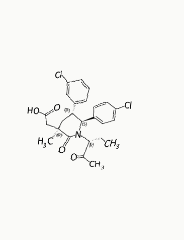 CC[C@H](C(C)=O)N1C(=O)[C@@](C)(CC(=O)O)C[C@H](c2cccc(Cl)c2)[C@H]1c1ccc(Cl)cc1